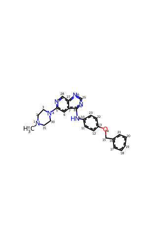 CN1CCN(c2cc3c(Nc4ccc(OCc5ccccc5)cc4)ncnc3cn2)CC1